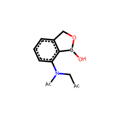 CC(=O)CN(C(C)=O)c1cccc2c1B(O)OC2